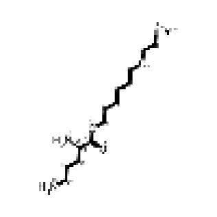 CCCCCCCCCCCCOCCCCCCOC(=O)[C@H](N)CCCN